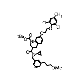 COCCCc1c[c]cc(CN(C(=O)C(CNC(=O)OC(C)(C)C)Cc2ccc(OCCOc3c(Cl)cc(C)cc3Cl)cc2)C2CC2)c1